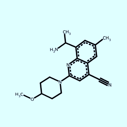 COC1CCN(c2cc(C#N)c3cc(C)cc(C(C)N)c3n2)CC1